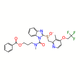 Cc1c(OCC(F)(F)F)ccnc1C[S@@+]([O-])c1nc2ccccc2n1C(=O)N(C)CCCOC(=O)c1ccccc1